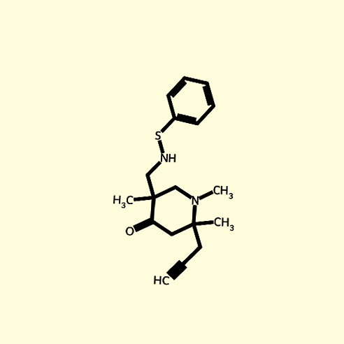 C#CCC1(C)CC(=O)C(C)(CNSc2ccccc2)CN1C